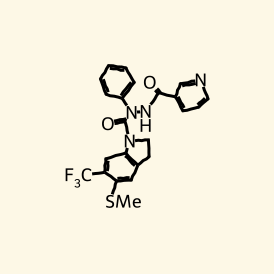 CSc1cc2c(cc1C(F)(F)F)N(C(=O)N(NC(=O)c1cccnc1)c1ccccc1)CC2